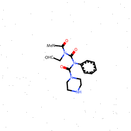 CNC(=O)N(C[C]=O)C(=O)N(C(=O)N1CCNCC1)c1ccccc1